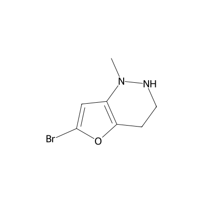 CN1NCCc2oc(Br)cc21